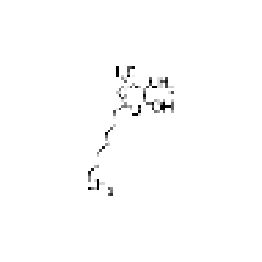 CCCCCCCCC(=O)OC(C)C(C)CO